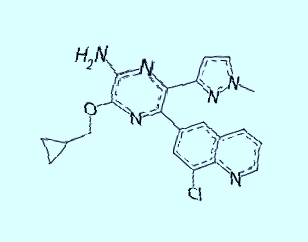 Cn1ccc(-c2nc(N)c(OCC3CC3)nc2-c2cc(Cl)c3ncccc3c2)n1